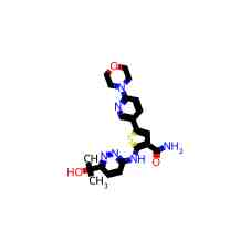 CC(C)(O)c1ccc(Nc2sc(-c3ccc(N4CCOCC4)nc3)cc2C(N)=O)nn1